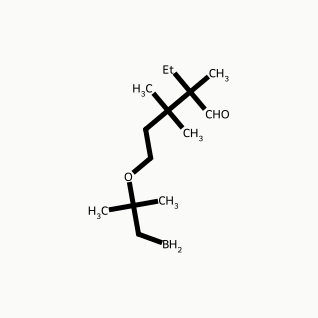 BCC(C)(C)OCCC(C)(C)C(C)(C=O)CC